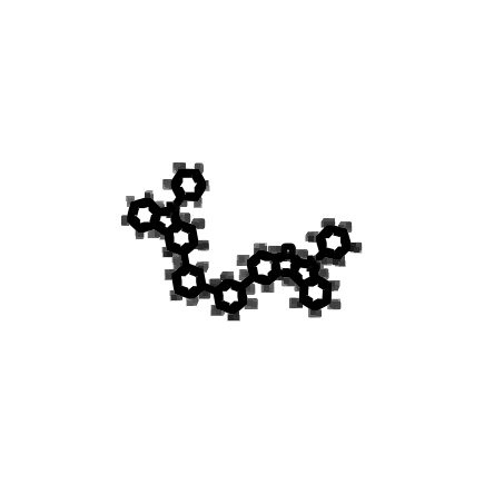 c1ccc(-n2c3ccccc3c3cc(-c4cccc(-c5cccc(-c6ccc7oc8c(c7c6)c6ccccc6n8-c6ccccc6)c5)c4)ccc32)cc1